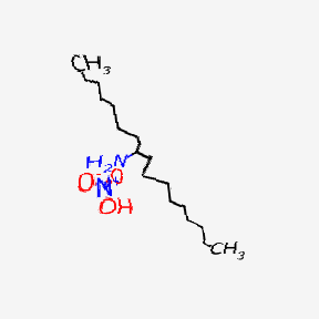 CCCCCCCCCC(N)CCCCCCC.O=[N+]([O-])O